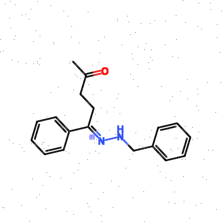 CC(=O)CC/C(=N\NCc1ccccc1)c1ccccc1